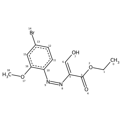 CCOC(=O)C(=C\O)/N=N\c1ccc(Br)cc1OC